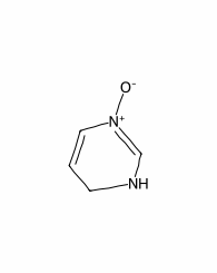 [O-][N+]1=CNCC=C1